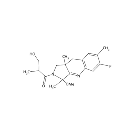 COC1(C)C2=Nc3cc(F)c(C)cc3CC2(C)CN1C(=O)C(C)CO